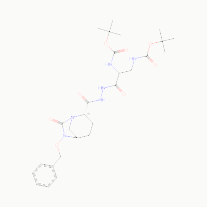 CC(C)(C)OC(=O)NCC(NC(=O)OC(C)(C)C)C(=O)NNC(=O)[C@@H]1CCC2CN1C(=O)N2OCc1ccccc1